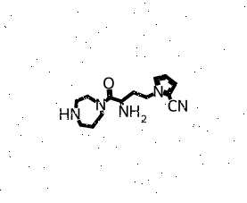 N#Cc1cccn1CCC(N)C(=O)N1CCCNCC1